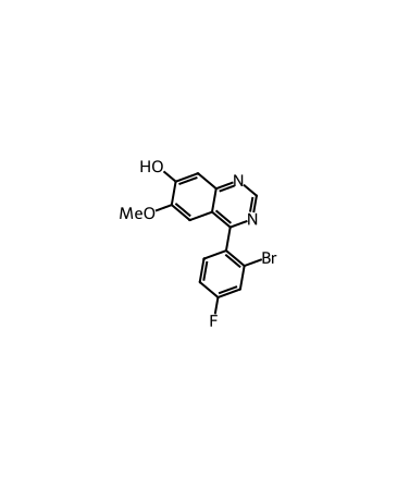 COc1cc2c(-c3ccc(F)cc3Br)ncnc2cc1O